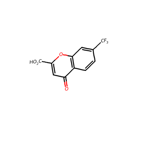 O=C(O)c1cc(=O)c2ccc(C(F)(F)F)cc2o1